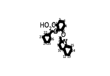 O=C(O)c1cccc(OCc2ccc3ccccc3n2)c1OCc1ccccc1